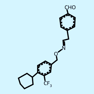 O=Cc1ccc(CC=NOCc2ccc(C3CCCCC3)c(C(F)(F)F)c2)cc1